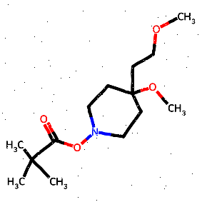 COCCC1(OC)CCN(OC(=O)C(C)(C)C)CC1